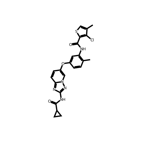 Cc1ccc(Oc2ccc3nc(NC(=O)C4CC4)nn3c2)cc1NC(=O)c1scc(C)c1Cl